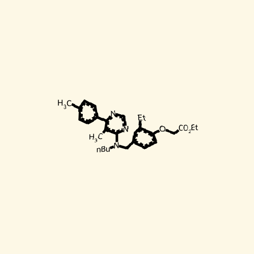 CCCCN(Cc1ccc(OCC(=O)OCC)c(CC)c1)c1ncnc(-c2ccc(C)cc2)c1C